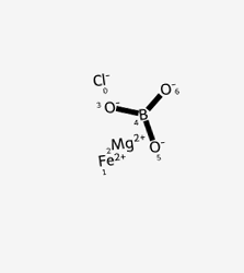 [Cl-].[Fe+2].[Mg+2].[O-]B([O-])[O-]